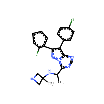 CC(NC1(C(=O)O)CNC1)c1ncnc2c(-c3ccc(Cl)cc3)c(-c3ccccc3Cl)nn12